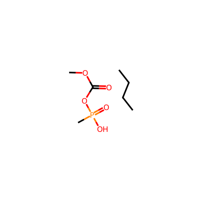 CCCC.COC(=O)OP(C)(=O)O